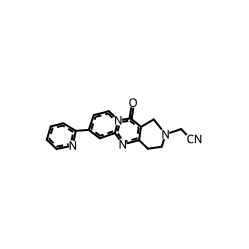 N#CCN1CCc2nc3cc(-c4ccccn4)ccn3c(=O)c2C1